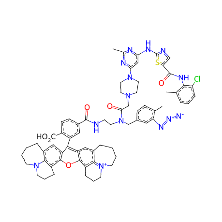 Cc1nc(Nc2ncc(C(=O)Nc3c(C)cccc3Cl)s2)cc(N2CCN(CC(=O)N(CCNC(=O)c3ccc(C(=O)O)c(C4=c5cc6c7c(c5Oc5c4cc4c8c5CCCN8CCCC4)CCC[N+]=7CCCC6)c3)Cc3ccc(C)c(N=[N+]=[N-])c3)CC2)n1